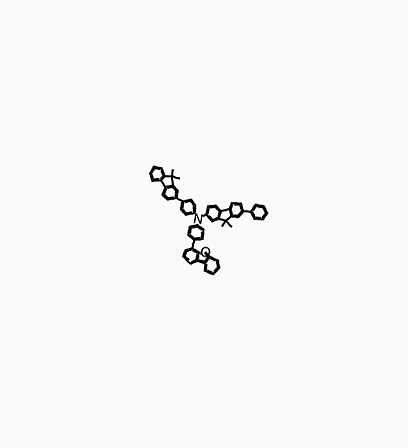 CC1(C)c2ccccc2-c2ccc(-c3ccc(N(c4ccc(-c5cccc6c5oc5ccccc56)cc4)c4ccc5c(c4)C(C)(C)c4cc(-c6ccccc6)ccc4-5)cc3)cc21